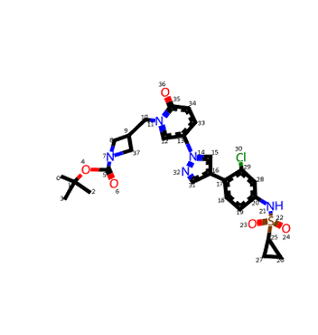 CC(C)(C)OC(=O)N1CC(Cn2cc(-n3cc(-c4ccc(NS(=O)(=O)C5CC5)cc4Cl)cn3)ccc2=O)C1